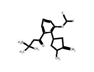 BC(C)(C)CC(=O)c1cccc(OC(F)F)c1C1CC(=C)C(C)C1